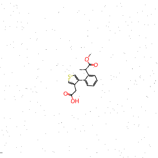 COC(=O)C(C)c1ccccc1-c1cscc1CC(=O)O